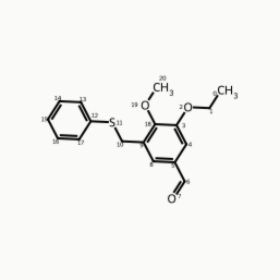 CCOc1cc(C=O)cc(CSc2ccccc2)c1OC